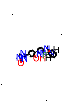 CN(c1ccc(-c2ccc(-c3ncn(C)c(=O)n3)cc2O)nn1)[C@@H]1C[C@H]2CC[C@@H]([C@@H]1F)N2C